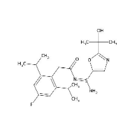 CC(C)c1cc(F)cc(C(C)C)c1CC(=O)/N=S(/N)c1cnc(C(C)(C)O)o1